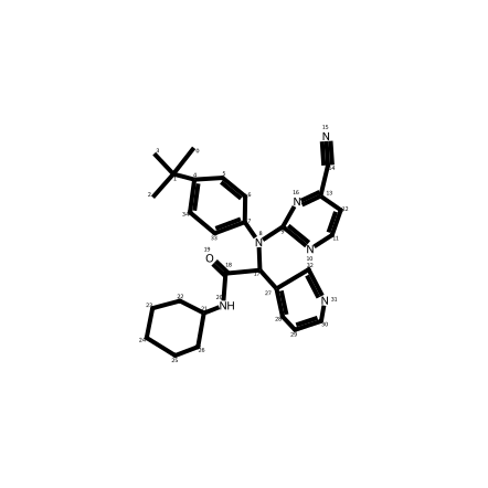 CC(C)(C)c1ccc(N(c2nccc(C#N)n2)C(C(=O)NC2CCCCC2)c2cccnc2)cc1